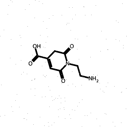 NCCN1C(=O)C=C(C(=O)O)CC1=O